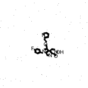 O=c1c2ncc3c(c(COCCc4ccccn4)cn3Cc3ccc(F)cc3)c2ccn1O